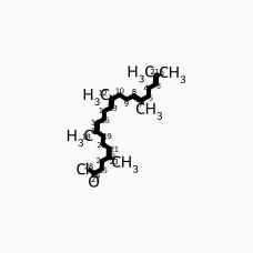 CC(C)=CCCC(C)=CCCC(C)=CCCC=C(C)CCC=C(C)CCC(=O)Cl